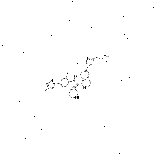 Cn1cc(-c2ccc(C(=O)N(c3nccc4cc(-c5cnn(CCO)c5)ccc34)[C@@H]3CCCNC3)c(F)c2)nn1